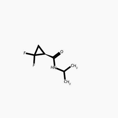 CC(C)NC(=O)[C@@H]1CC1(F)F